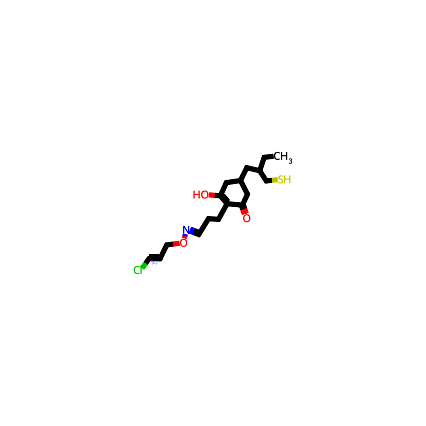 CCC(CS)CC1CC(=O)C(CCC=NOC/C=C/Cl)=C(O)C1